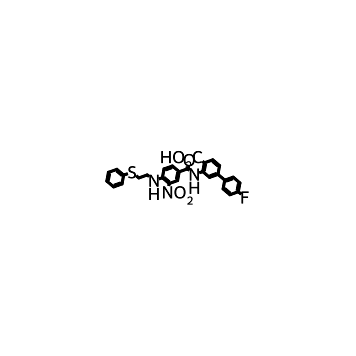 O=C(Nc1cc(-c2ccc(F)cc2)ccc1C(=O)O)c1ccc(NCCSc2ccccc2)c([N+](=O)[O-])c1